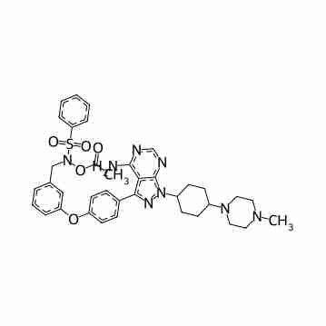 CC(=O)ON(Cc1cccc(Oc2ccc(-c3nn(C4CCC(N5CCN(C)CC5)CC4)c4ncnc(N)c34)cc2)c1)S(=O)(=O)c1ccccc1